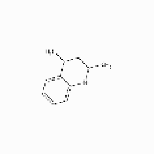 CC1CC(C)c2ccccc2[N]1